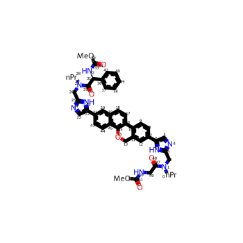 CCCN(Cc1ncc(-c2ccc3c(c2)COc2c-3ccc3cc(-c4cnc(CN(CCC)C(=O)[C@H](NC(=O)OC)c5ccccc5)[nH]4)ccc23)[nH]1)C(=O)CNC(=O)OC